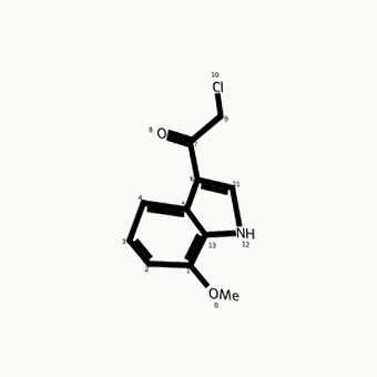 COc1cccc2c(C(=O)CCl)c[nH]c12